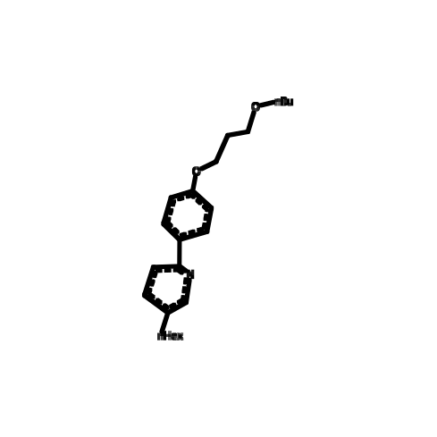 CCCCCCc1ccc(-c2ccc(OCCCOCCCC)cc2)nc1